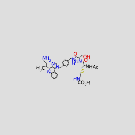 CC(=O)NC(CSCCNC(=O)O)C(=O)N[C@H](CO)C(=O)NCc1ccc(Cn2cnc3c([C@@H](C)CCN)nc4ccccc4c32)cc1